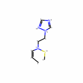 C/C=C\N(CCn1cncn1)SC